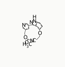 CN1CCCOc2ccc3[nH]nc(c3c2)-c2cncc(c2)COC1=O